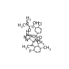 Cc1ccc(F)c([C@@H](C)[C@H](NS(=O)(=O)c2ccc(Cl)c([C@H](O)C(=O)N(C)C)c2)c2nn[nH]n2)c1C